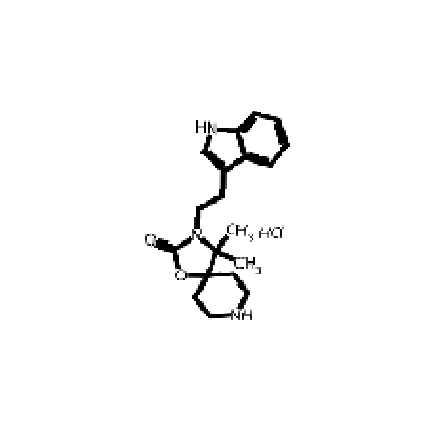 CC1(C)N(CCc2c[nH]c3ccccc23)C(=O)OC12CCNCC2.Cl